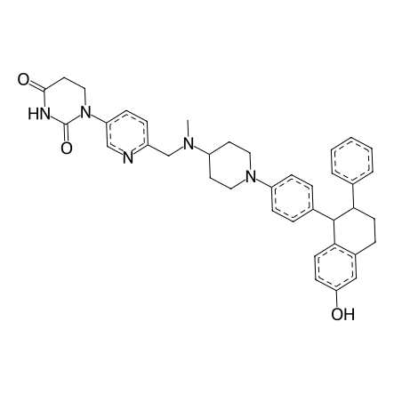 CN(Cc1ccc(N2CCC(=O)NC2=O)cn1)C1CCN(c2ccc(C3c4ccc(O)cc4CCC3c3ccccc3)cc2)CC1